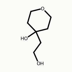 OCCC1(O)CCOCC1